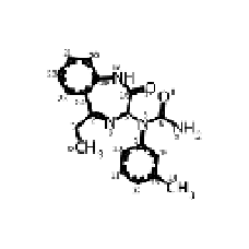 CCC1=N[C@H](N(C(N)=O)c2cccc(C)c2)C(=O)Nc2ccccc21